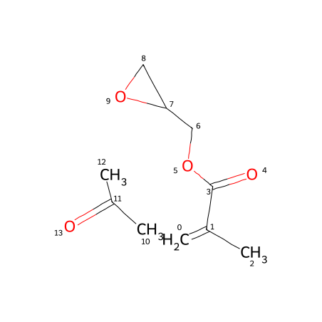 C=C(C)C(=O)OCC1CO1.CC(C)=O